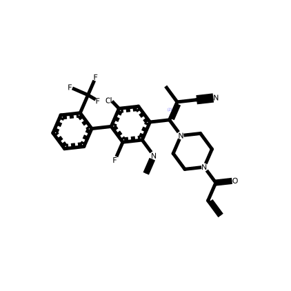 C=CC(=O)N1CCN(/C(=C(/C)C#N)c2cc(Cl)c(-c3ccccc3C(F)(F)F)c(F)c2N=C)CC1